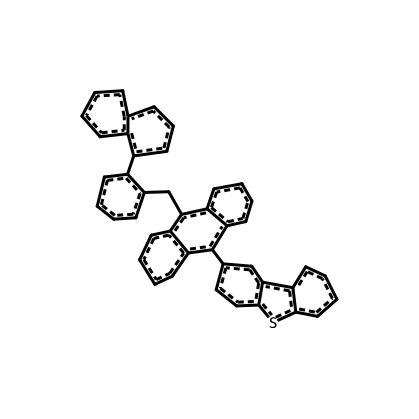 c1ccc(-c2cccc3ccccc23)c(Cc2c3ccccc3c(-c3ccc4sc5ccccc5c4c3)c3ccccc23)c1